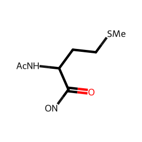 CSCCC(NC(C)=O)C(=O)N=O